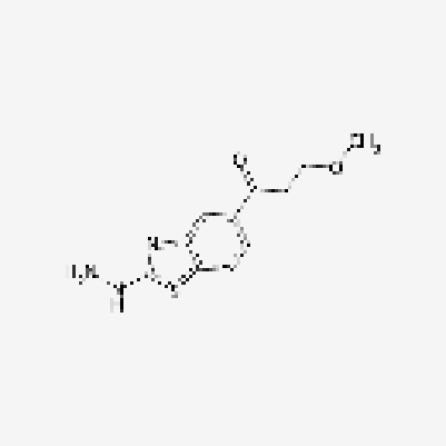 COCCC(=O)c1ccc2sc(NN)nc2c1